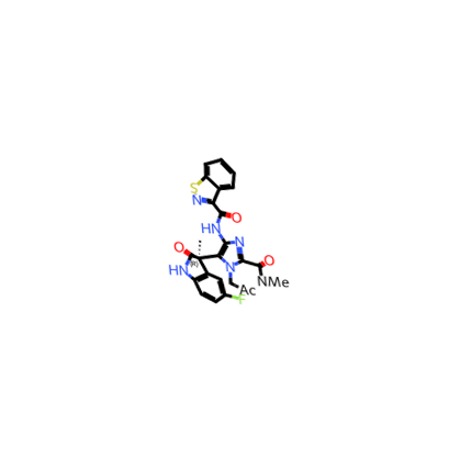 CNC(=O)c1nc(NC(=O)c2nsc3ccccc23)c([C@]2(C)C(=O)Nc3ccc(F)cc32)n1CC(C)=O